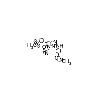 CN1CCOC(c2ccc(Nc3ncc4cc(-c5cccc(S(C)(=O)=O)c5)c(=O)n(Cc5nccs5)c4n3)cc2)C1